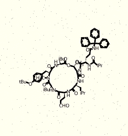 CC[C@H](C)[C@@H]1NC(=O)[C@H](Cc2ccc(OC(C)(C)C)cc2)N(C)C(=O)[C@H]([C@@H](C)CC)NC(=O)[C@H](CCC=O)NC(=O)[C@H](CC(C)C)NC(=O)[C@@H](NC(=O)[C@H](CCC(=O)NC(c2ccccc2)(c2ccccc2)c2ccccc2)NC(=O)C(C)C)[C@@H](C)OC1=O